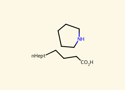 C1CCNCC1.CCCCCCCCCCC(=O)O